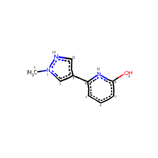 Cn1cc(-c2cccc(O)n2)cn1